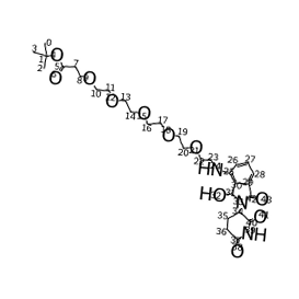 CC(C)(C)OC(=O)CCOCCOCCOCCOCCOCCNc1cccc2c1C(O)N(C1CCC(=O)NC1=O)C2=O